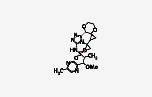 COC(c1cnc(C)cn1)C(C)S(=O)(=O)Nc1nnc([C@H]2COCCO2)n1C1(C2CC2)CC1